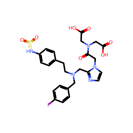 O=C(O)CN(CC(=O)O)C(=O)Cn1ccnc1CN(CCc1ccc(N[SH](=O)=O)cc1)Cc1ccc(I)cc1